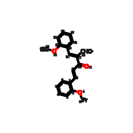 CC(C)Oc1ccccc1C=CC(=O)C([C]=O)=Cc1ccccc1OC(C)(C)C